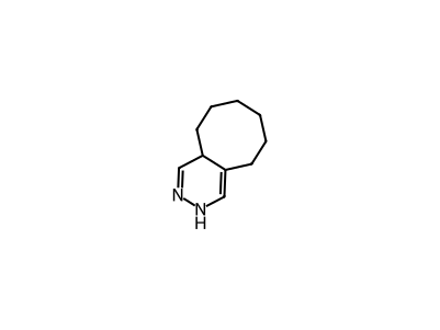 C1=NNC=C2CCCCCCC12